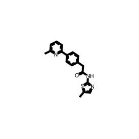 Cc1cccc(-c2ccc(CC(=O)Nc3ncc(C)s3)cc2)n1